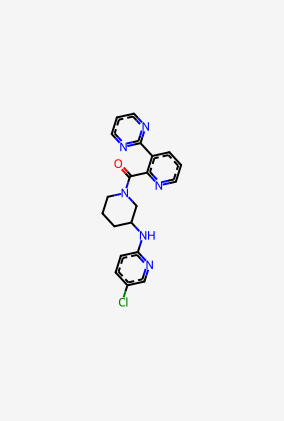 O=C(c1ncccc1-c1ncccn1)N1CCCC(Nc2ccc(Cl)cn2)C1